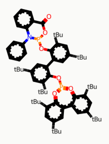 CC(C)(C)c1cc(-c2cc(C(C)(C)C)cc(C(C)(C)C)c2Op2oc3c(C(C)(C)C)cc(C(C)(C)C)cc3c3cc(C(C)(C)C)cc(C(C)(C)C)c3o2)c(OP2OC(=O)c3ccccc3N2c2ccccc2)c(C(C)(C)C)c1